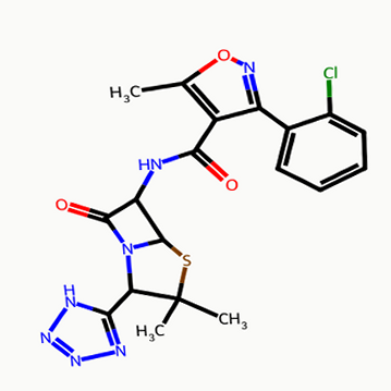 Cc1onc(-c2ccccc2Cl)c1C(=O)NC1C(=O)N2C1SC(C)(C)C2c1nnn[nH]1